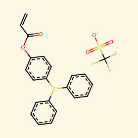 C=CC(=O)Oc1ccc([S+](c2ccccc2)c2ccccc2)cc1.O=S(=O)([O-])C(F)(F)F